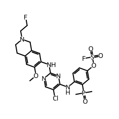 COc1cc2c(cc1Nc1ncc(Cl)c(Nc3ccc(OS(=O)(=O)F)cc3P(C)(C)=O)n1)CN(CCF)CC2